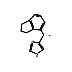 C[C@H](c1c[nH]cn1)c1cccc2c1CCC2